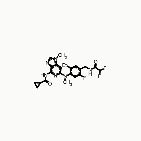 CCc1cc(CNC(=O)C(F)F)c(F)cc1N(C)c1cc2c(ncn2C)c(NC(=O)C2CC2)n1